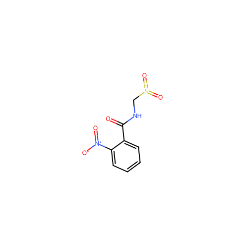 O=C(NC[SH](=O)=O)c1ccccc1[N+](=O)[O-]